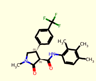 Cc1ccc(NC(=O)[C@H]2C(=O)N(C)C[C@@H]2c2ccc(C(F)(F)F)cc2)c(C)c1C